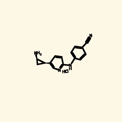 Cl.N#Cc1ccc(Nc2ccc([C@@H]3C[C@H]3N)cn2)cc1